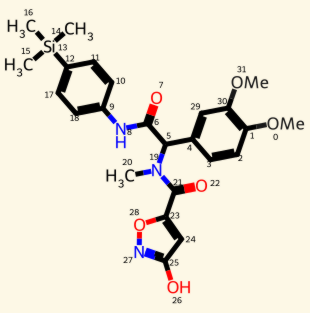 COc1ccc(C(C(=O)Nc2ccc([Si](C)(C)C)cc2)N(C)C(=O)c2cc(O)no2)cc1OC